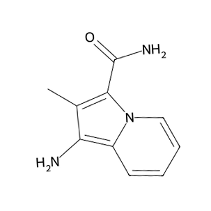 Cc1c(N)c2ccccn2c1C(N)=O